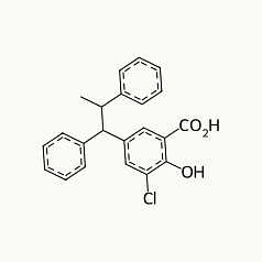 CC(c1ccccc1)C(c1ccccc1)c1cc(Cl)c(O)c(C(=O)O)c1